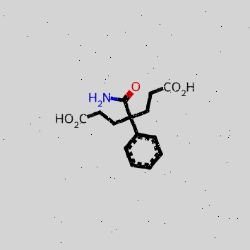 NC(=O)C(CCC(=O)O)(CCC(=O)O)c1ccccc1